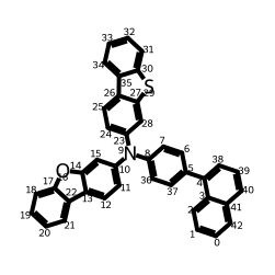 c1ccc2c(-c3ccc(N(c4ccc5c(c4)oc4ccccc45)c4ccc5c(c4)sc4ccccc45)cc3)cccc2c1